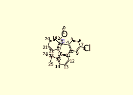 CO/C=C\c1ccc(Cl)cc1-c1cccc2c1-c1ccccc1C2(C)C